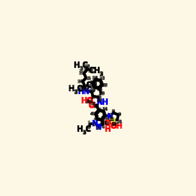 CCn1ncc2c(N3CCCS3(O)O)cc(C(=O)N[C@@H](Cc3ccccc3)[C@H](O)CNC(C)(C)CCCC(C)C)cc21